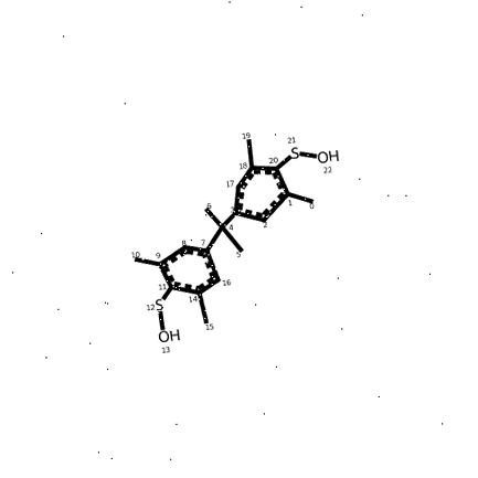 Cc1cc(C(C)(C)c2cc(C)c(SO)c(C)c2)cc(C)c1SO